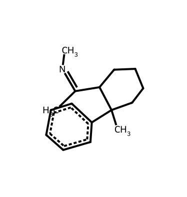 C/N=C(/C)C1CCCCC1(C)c1ccccc1